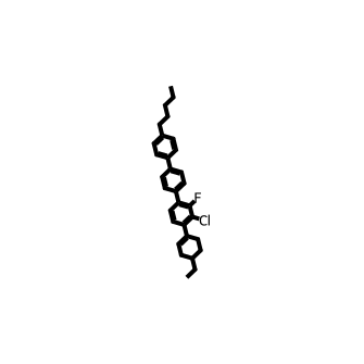 CCCCCc1ccc(-c2ccc(-c3ccc(C4=CCC(CC)CC4)c(Cl)c3F)cc2)cc1